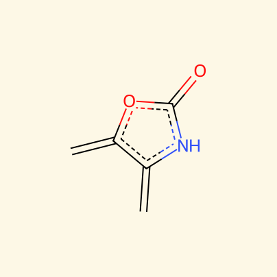 C=c1[nH]c(=O)oc1=C